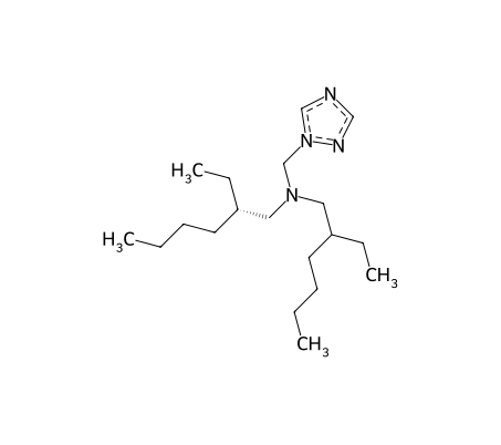 CCCCC(CC)CN(C[C@@H](CC)CCCC)Cn1cncn1